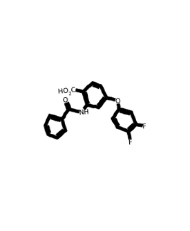 O=C(Nc1cc(Oc2ccc(F)c(F)c2)ccc1C(=O)O)c1ccccc1